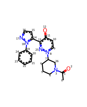 CC(=O)N1CCCC(n2ccc(=O)c(-c3ccnn3-c3ccccc3)n2)C1